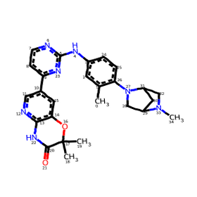 Cc1cc(Nc2nccc(-c3cnc4c(c3)OC(C)(C)C(=O)N4)n2)ccc1N1CC2CC1CN2C